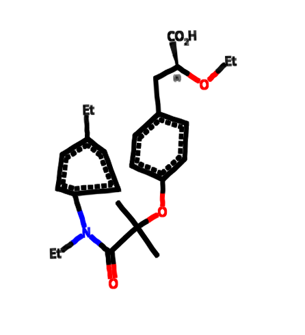 CCO[C@@H](Cc1ccc(OC(C)(C)C(=O)N(CC)c2ccc(CC)cc2)cc1)C(=O)O